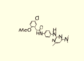 COc1ccc(Cl)cc1CC(=O)Nc1ccc(Nc2nc(C)cc(N(C)C)n2)cc1